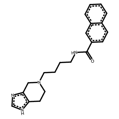 O=C(NCCCCN1CCc2[nH]cnc2C1)c1ccc2ccccc2c1